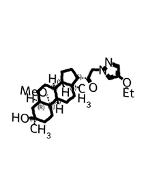 CCOc1cnn(CC(=O)[C@H]2CC[C@H]3[C@@H]4CC[C@@H]5C[C@](C)(O)CC[C@]5(COC)[C@H]4CC[C@]23C)c1